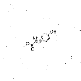 COC(=O)[C@H](N)Cc1ccc(O)cc1